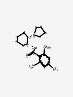 COc1cc(C(F)(F)F)cc(C(F)(F)F)c1C(=O)N[C@@H]1CCCC[C@@H]1N1CCCC1